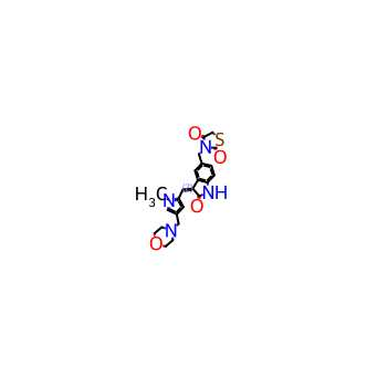 Cn1cc(CN2CCOCC2)cc1/C=C1\C(=O)Nc2ccc(CN3C(=O)CSC3=O)cc21